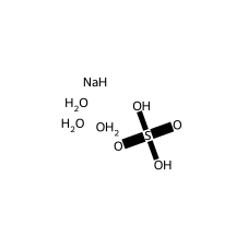 O.O.O.O=S(=O)(O)O.[NaH]